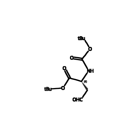 CC(C)(C)OC(=O)N[C@H](CC=O)C(=O)OC(C)(C)C